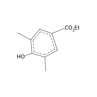 CCOC(=O)c1cc(C)c(O)c(C)c1